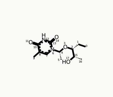 CC[C@@H](O[C@H](C)n1cc(C)c(=O)[nH]c1=O)[C@H](C)O